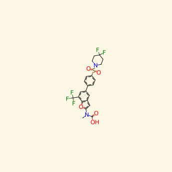 CN(C(=O)O)c1cc2cc(-c3ccc(S(=O)(=O)N4CCC(F)(F)CC4)cc3)cc(C(F)(F)F)c2o1